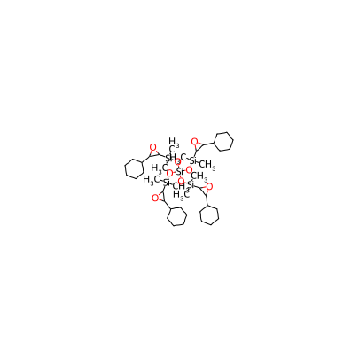 C[Si](C)(O[Si](O[Si](C)(C)C1OC1C1CCCCC1)(O[Si](C)(C)C1OC1C1CCCCC1)O[Si](C)(C)C1OC1C1CCCCC1)C1OC1C1CCCCC1